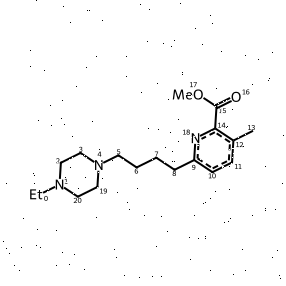 CCN1CCN(CCCCc2ccc(C)c(C(=O)OC)n2)CC1